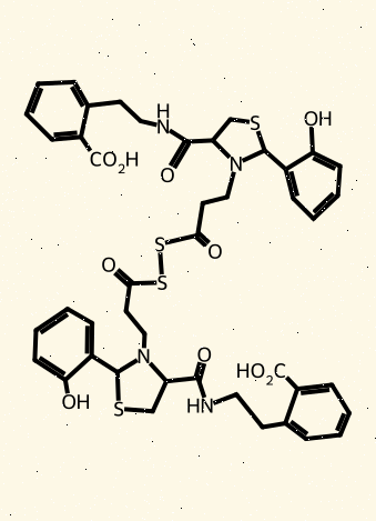 O=C(CCN1C(C(=O)NCCc2ccccc2C(=O)O)CSC1c1ccccc1O)SSC(=O)CCN1C(C(=O)NCCc2ccccc2C(=O)O)CSC1c1ccccc1O